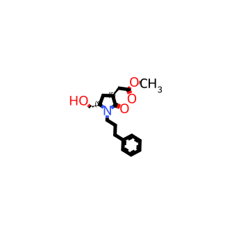 COC(=O)C[C@@H]1C[C@@H](CO)N(CCCc2ccccc2)C1=O